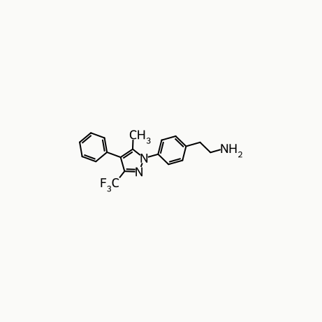 Cc1c(-c2ccccc2)c(C(F)(F)F)nn1-c1ccc(CCN)cc1